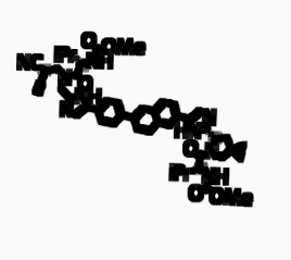 C#C[C@H](C#N)CN(Cc1ncc(-c2ccc(-c3ccc4cc(-c5cnc([C@@H]6CC7(CC7)CN6C(=O)[C@@H](NC(=O)OC)C(C)C)[nH]5)ccc4c3)cc2)[nH]1)C(=O)[C@@H](NC(=O)OC)C(C)C